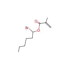 C=C(C)C(=O)OC(Br)CCCCC